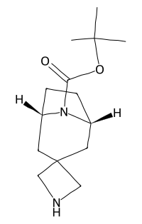 CC(C)(C)OC(=O)N1[C@@H]2CC[C@H]1CC1(CNC1)C2